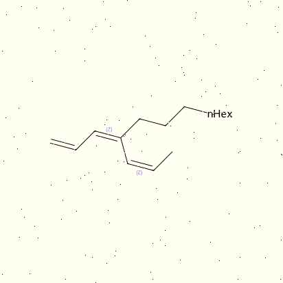 C=C/C=C(\C=C/C)CCCCCCCCC